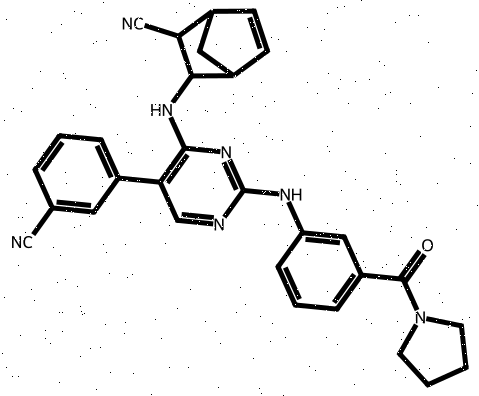 N#Cc1cccc(-c2cnc(Nc3cccc(C(=O)N4CCCC4)c3)nc2NC2C3C=CC(C3)C2C#N)c1